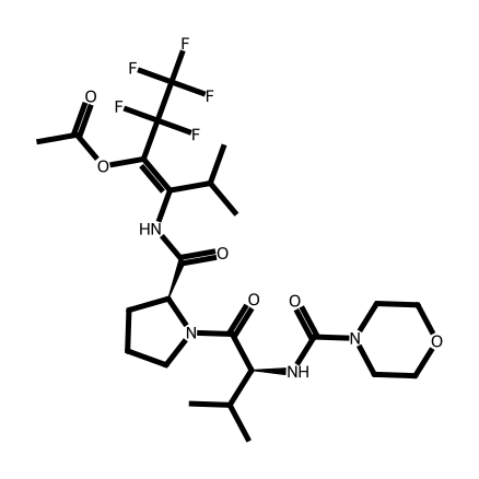 CC(=O)O/C(=C(\NC(=O)[C@@H]1CCCN1C(=O)[C@@H](NC(=O)N1CCOCC1)C(C)C)C(C)C)C(F)(F)C(F)(F)F